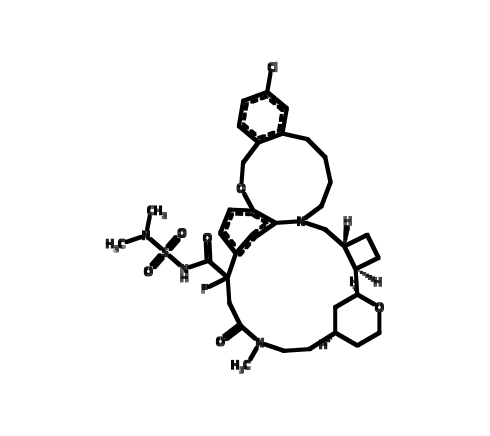 CN1CC[C@@H]2CCO[C@@H](C2)[C@@H]2CC[C@H]2CN2CCCCc3cc(Cl)ccc3COc3ccc(cc32)C(F)(C(=O)NS(=O)(=O)N(C)C)CC1=O